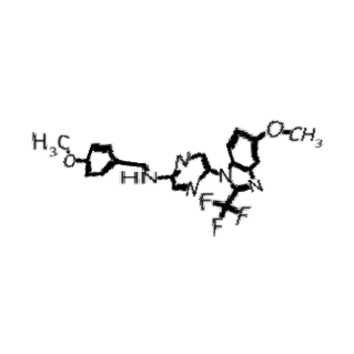 COc1ccc(CNc2cnc(-n3c(C(F)(F)F)nc4cc(OC)ccc43)cn2)cc1